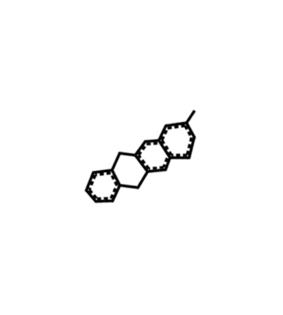 Cc1ccc2cc3c(cc2c1)Cc1ccccc1C3